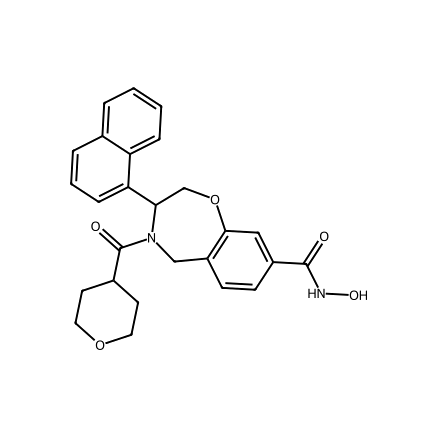 O=C(NO)c1ccc2c(c1)OCC(c1cccc3ccccc13)N(C(=O)C1CCOCC1)C2